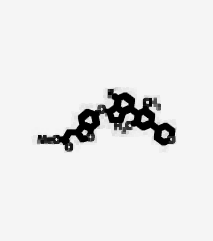 COC(=O)CC1COc2cc(O[C@@H]3CCc4c(-c5c(C)cc(C6=CCOCC6)cc5C)ccc(F)c43)ccc21